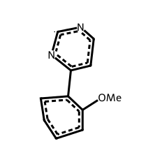 COc1ccccc1-c1ccn[c]n1